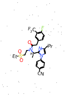 CCS(=O)(=O)CCN(C(=O)Cc1ccc(F)c(C(F)(F)F)c1)[C@H](C)c1nc(C(C)C)cn1-c1ccc(C#N)cc1